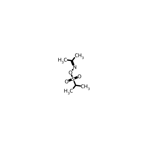 CC(C)=NOS(=O)(=O)C(C)C